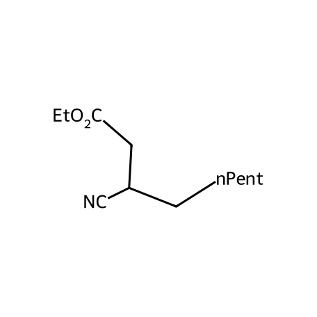 CCCCCCC(C#N)CC(=O)OCC